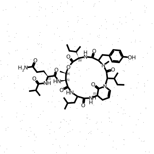 CCC(C)C1C(=O)N(C)C(Cc2ccc(O)cc2)C(=O)N[C@@H](C(C)CC)C(=O)O[C@H](C)[C@H](NC(=O)[C@H](CCC(N)=O)NC(=O)C(C)C)C(=O)NC(CC(C)C)C(=O)N[C@H]2CC=CN1C2=O